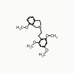 COc1cc(OC)c(CCN2CCc3cccc(OC)c3C2)c(OC)c1